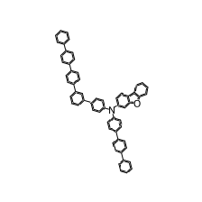 c1ccc(-c2ccc(-c3ccc(-c4cccc(-c5ccc(N(c6ccc(-c7ccc(-c8ccccc8)cc7)cc6)c6ccc7c(c6)oc6ccccc67)cc5)c4)cc3)cc2)cc1